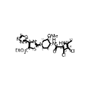 CCOC(=O)c1sc(N2CC[C@@H](NC(=O)c3[nH]c(C)c(Cl)c3Cl)[C@@H](OC)C2)nc1-c1nnco1